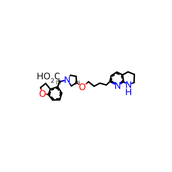 O=C(O)[C@H](c1cccc2c1CCO2)N1CC[C@@H](OCCCCc2ccc3c(n2)NCCC3)C1